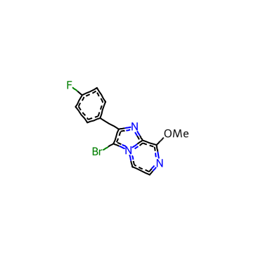 COc1nccn2c(Br)c(-c3ccc(F)cc3)nc12